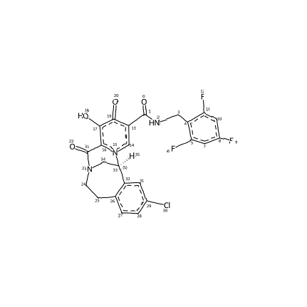 O=C(NCc1c(F)cc(F)cc1F)c1cn2c(c(O)c1=O)C(=O)N1CCc3ccc(Cl)cc3[C@H]2C1